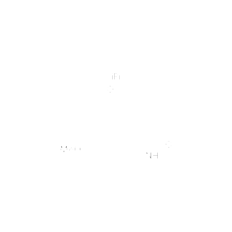 COc1ccc(-c2c3c(cc4ccc(OC(C)C)cc24)C(=O)NC3)cc1